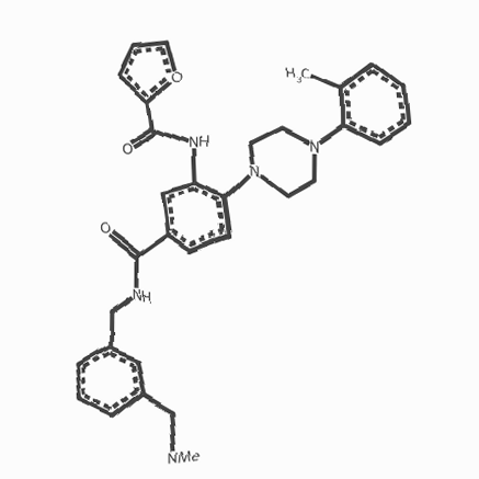 CNCc1cccc(CNC(=O)c2ccc(N3CCN(c4ccccc4C)CC3)c(NC(=O)c3ccco3)c2)c1